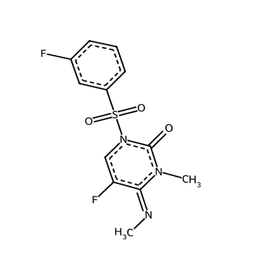 C/N=c1\c(F)cn(S(=O)(=O)c2cccc(F)c2)c(=O)n1C